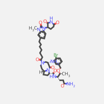 C[C@@H](OCc1ccc(Br)cc1)[C@H](CCC(N)=O)NC(=O)[C@@H]1CC[C@@H]2CCN(C(=O)CCCCCCc3ccc4c(c3)n(C)c(=O)n4C3CCC(=O)NC3=O)C[C@H](N)C(=O)N21